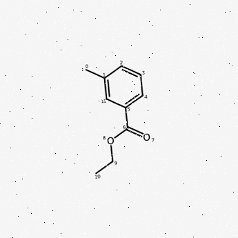 [CH]c1cccc(C(=O)OCC)c1